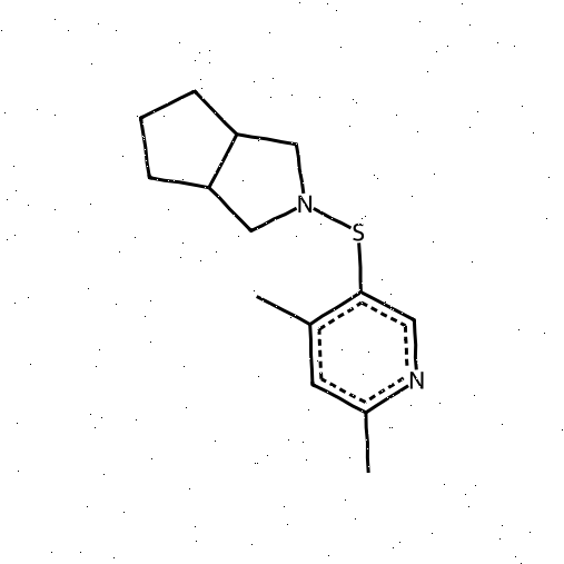 Cc1cc(C)c(SN2CC3CCCC3C2)cn1